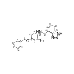 Fc1cc(OCc2ccccc2)ccc1NCc1cccc2[nH]nnc12